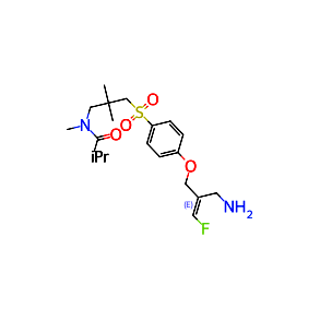 CC(C)C(=O)N(C)CC(C)(C)CS(=O)(=O)c1ccc(OC/C(=C/F)CN)cc1